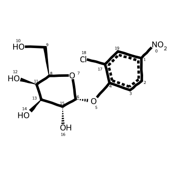 O=[N+]([O-])c1ccc(O[C@H]2O[C@H](CO)[C@H](O)[C@H](O)[C@H]2O)c(Cl)c1